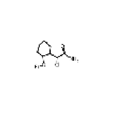 CCOC1CCCCC1C(Cl)C(N)=O